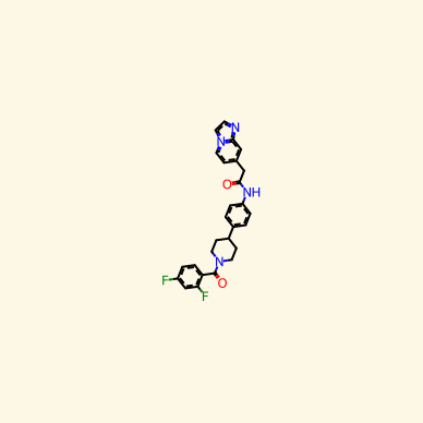 O=C(Cc1ccn2ccnc2c1)Nc1ccc(C2CCN(C(=O)c3ccc(F)cc3F)CC2)cc1